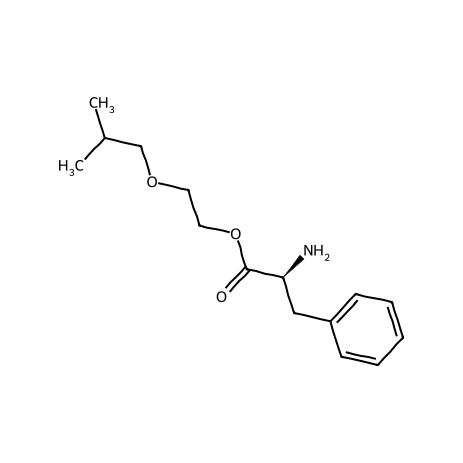 CC(C)COCCOC(=O)[C@@H](N)Cc1ccccc1